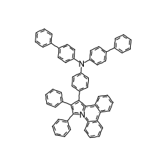 c1ccc(-c2ccc(N(c3ccc(-c4ccccc4)cc3)c3ccc(-c4c(-c5ccccc5)c(-c5ccccc5)n5c6ccccc6c6ccccc6c45)cc3)cc2)cc1